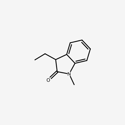 CCC1C(=O)N(C)c2ccccc21